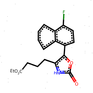 CCOC(=O)CCCc1[nH]c(=O)oc1-c1ccc(F)c2ccccc12